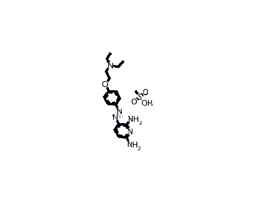 CCN(CC)CCOc1ccc(/N=N/c2ccc(N)nc2N)cc1.CS(=O)(=O)O